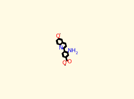 COC(=O)c1ccc(-c2ccc3cc(OC)ccc3n2)c(N)c1